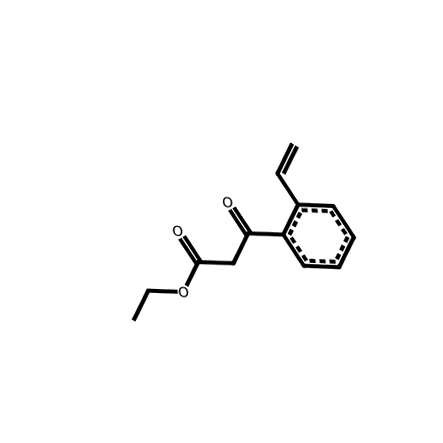 C=Cc1ccccc1C(=O)CC(=O)OCC